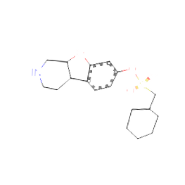 O=S(=O)(CC1CCCCC1)Oc1ccc2c(c1)OC1CNCCC21